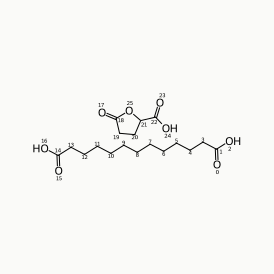 O=C(O)CCCCCCCCCCCC(=O)O.O=C1CCC(C(=O)O)O1